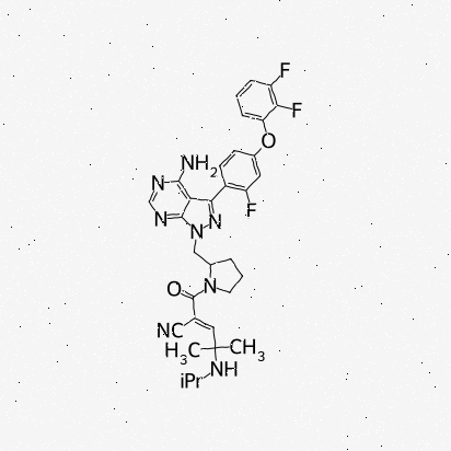 CC(C)NC(C)(C)C=C(C#N)C(=O)N1CCCC1Cn1nc(-c2ccc(Oc3cccc(F)c3F)cc2F)c2c(N)ncnc21